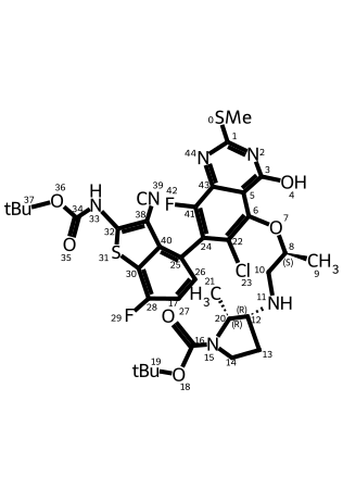 CSc1nc(O)c2c(O[C@@H](C)CN[C@@H]3CCN(C(=O)OC(C)(C)C)[C@@H]3C)c(Cl)c(-c3ccc(F)c4sc(NC(=O)OC(C)(C)C)c(C#N)c34)c(F)c2n1